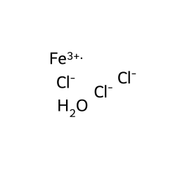 O.[Cl-].[Cl-].[Cl-].[Fe+3]